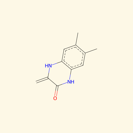 C=C1Nc2cc(C)c(C)cc2NC1=O